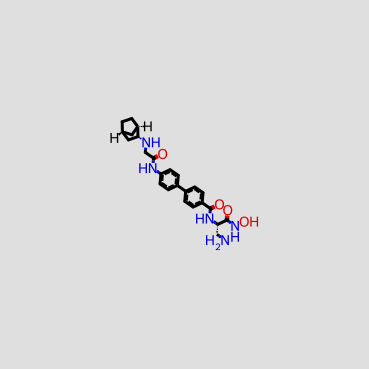 NC[C@H](NC(=O)c1ccc(-c2ccc(NC(=O)CN[C@@H]3C[C@@H]4CC[C@@H]3C4)cc2)cc1)C(=O)NO